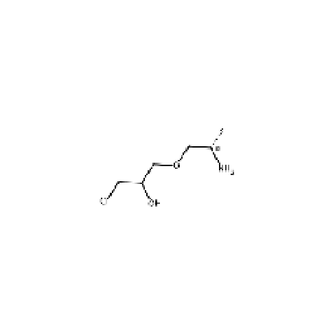 C[C@H](N)COCC(O)CCl